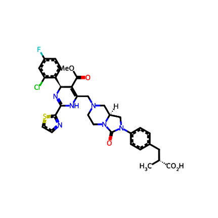 COC(=O)C1=C(CN2CCN3C(=O)N(c4ccc(C[C@@H](C)C(=O)O)cc4)C[C@@H]3C2)NC(c2nccs2)=N[C@H]1c1ccc(F)cc1Cl